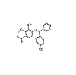 CCCc1c(OC(c2ccncc2)c2ccc(C#N)cc2)ccc2c1OCCC2=O